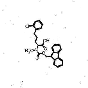 CN(C(=O)OCC1c2ccccc2-c2ccccc21)[C@@H](CCCc1ccccc1Cl)C(=O)O